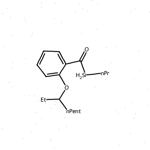 CCCCCC(CC)Oc1ccccc1C(=O)[SiH2]CCC